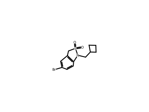 O=S1(=O)Cc2cc(Br)ccc2N1CC1CCC1